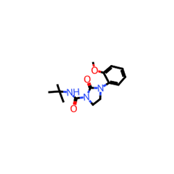 COc1ccccc1N1CCN(C(=O)NC(C)(C)C)C1=O